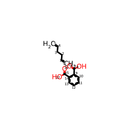 C=CCCC=C.O=C(O)c1ccccc1C(=O)O